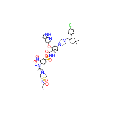 CCC(=O)N=S1(=O)CCN(C[C@H](C)Nc2ccc(S(=O)(=O)NC(=O)c3ccc(N4CCN(CC5=C(c6ccc(Cl)cc6)CC(C)(C)CC5)CC4)cc3Oc3cnc4[nH]ccc4c3)cc2[N+](=O)[O-])CC1